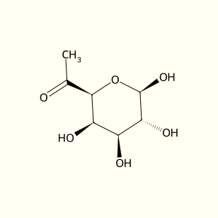 CC(=O)[C@H]1O[C@@H](O)[C@H](O)[C@@H](O)[C@H]1O